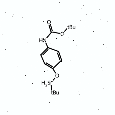 CC(C)(C)OC(=O)Nc1ccc(O[SiH2]C(C)(C)C)cc1